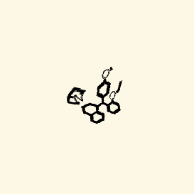 C1CN2CCC12.CCOc1ccccc1C(c1ccc(OC)cc1)C1CCCc2ccccc21